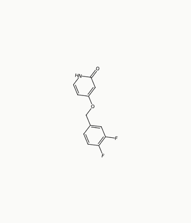 O=c1cc(OCc2ccc(F)c(F)c2)cc[nH]1